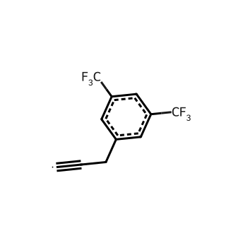 [C]#CCc1cc(C(F)(F)F)cc(C(F)(F)F)c1